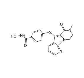 CN1CCn2c(c(Sc3ccc(C(=O)NO)cc3)c3cccnc32)C1=O